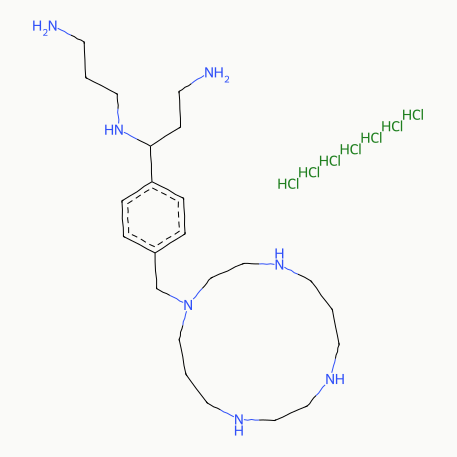 Cl.Cl.Cl.Cl.Cl.Cl.Cl.NCCCNC(CCN)c1ccc(CN2CCCNCCNCCCNCC2)cc1